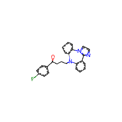 O=C(CCCN1c2ccccc2-c2nccn2-c2ccccc21)c1ccc(F)cc1